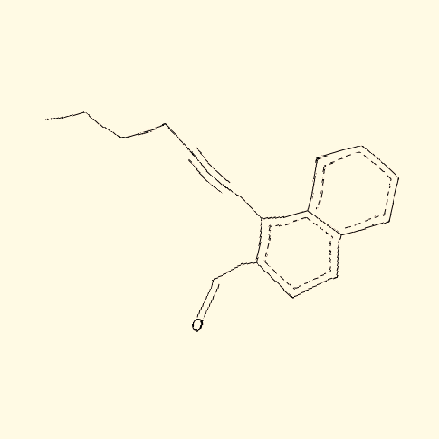 CCCCC#Cc1c(C=O)ccc2ccccc12